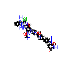 CCC(=O)Nc1cc(Nc2ncc(Cl)c(Nc3ccccc3)n2)c(OC)cc1N1CCN(C(=O)CN2CCC(c3ccc(NC4CCC(=O)NC4=O)cc3)CC2)CC1